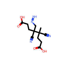 CC(C#N)(CCC(=O)O)C(C#N)(CCC(=O)O)CN=N